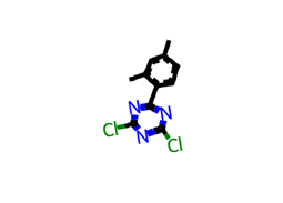 Cc1ccc(-c2nc(Cl)nc(Cl)n2)c(C)c1